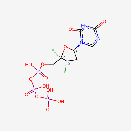 O=c1ncn([C@H]2C[C@H](F)[C@@](F)(COP(=O)(O)OP(=O)(O)OP(=O)(O)O)O2)c(=O)[nH]1